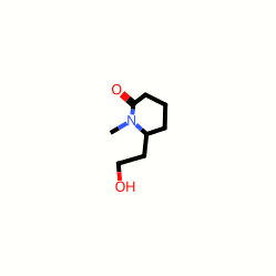 CN1C(=O)CCCC1CCO